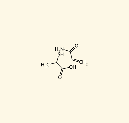 C=CC(N)=O.CC(S)C(=O)O